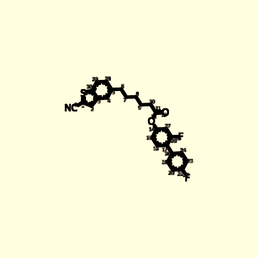 N#Cc1cc2cc(CCCCCC(=O)Oc3ccc(-c4ccc(F)cc4)c(F)c3)ccc2s1